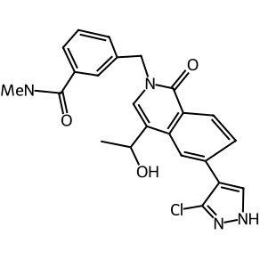 CNC(=O)c1cccc(Cn2cc(C(C)O)c3cc(-c4c[nH]nc4Cl)ccc3c2=O)c1